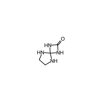 O=C1NC2(NCCN2)N1